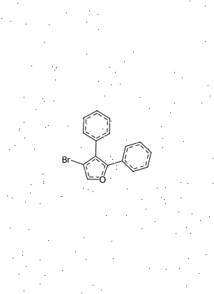 Brc1coc(-c2ccccc2)c1-c1ccccc1